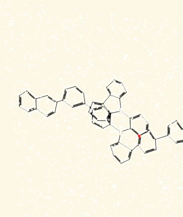 c1ccc(-c2ccc(-c3ccccc3N(c3ccc(-c4cccc(-c5ccc6ccccc6c5)c4)cc3)c3ccccc3-n3c4ccccc4c4ccccc43)cc2)cc1